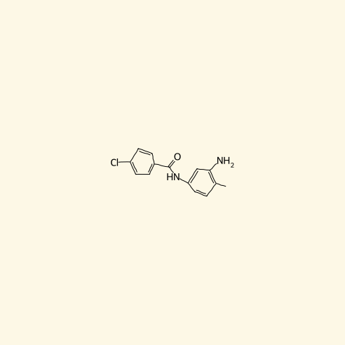 Cc1ccc(NC(=O)c2ccc(Cl)cc2)cc1N